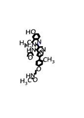 CCc1cc(O)ccc1/N=C(\N)c1cnn2cc(-c3ccc(OCCNC(C)=O)cc3C)cc2c1NC1CCOC1